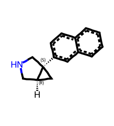 c1ccc2cc([C@@]34CNC[C@@H]3C4)ccc2c1